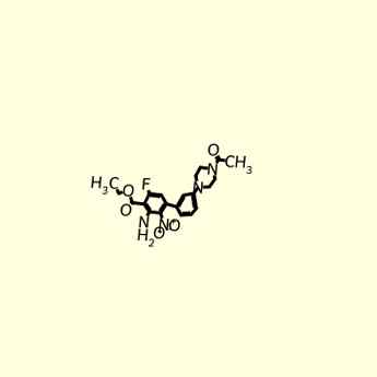 CCOC(=O)c1c(F)cc(-c2cccc(N3CCN(C(C)=O)CC3)c2)c([N+](=O)[O-])c1N